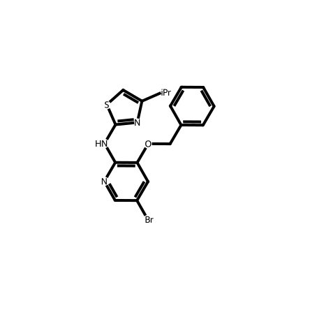 CC(C)c1csc(Nc2ncc(Br)cc2OCc2ccccc2)n1